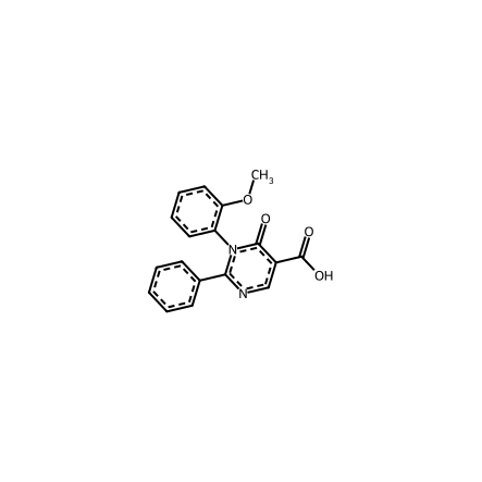 COc1ccccc1-n1c(-c2ccccc2)ncc(C(=O)O)c1=O